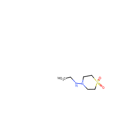 O=C(O)CNN1CCS(=O)(=O)CC1